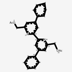 CC(=O)OCc1cc(-c2ccccc2)cc(-c2cc(-c3ccccc3)cc(COC(C)=O)n2)n1